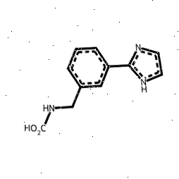 O=C(O)NCc1cccc(-c2ncc[nH]2)c1